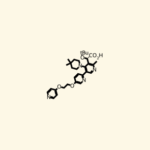 Cc1ncc(-c2ccc(OCCOc3ccncc3)cn2)c(N2CCC(C)(C)CC2)c1[C@H](OC(C)(C)C)C(=O)O